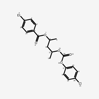 CCc1ccc(C(=O)OC(C)CC(C)OC(=O)Oc2ccc(Cl)cc2)cc1